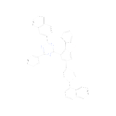 C1=Cc2cc(-c3nc(-c4ccccc4)nc(-c4cc(C5=CCC(c6cccc7ccccc67)C=C5)cc5oc6ccccc6c45)n3)ccc2CC1